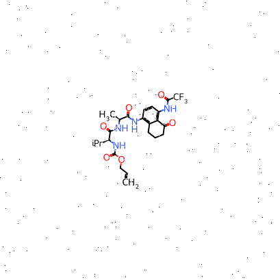 C=CCOC(=O)N[C@H](C(=O)N[C@@H](C)C(=O)Nc1ccc(NC(=O)C(F)(F)F)c2c1CCCC2=O)C(C)C